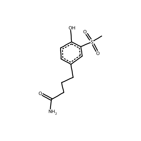 CS(=O)(=O)c1cc(CCCC(N)=O)ccc1O